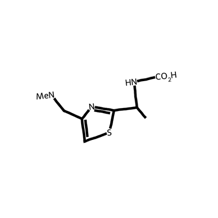 CNCc1csc(C(C)NC(=O)O)n1